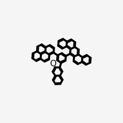 c1ccc2cc3c(cc2c1)oc1c(-c2ccc4ccc5cccc6ccc2c4c56)cc(-c2c4ccc5ccccc5c4cc4ccc5ccccc5c24)cc13